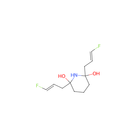 OC1(CC=CF)CCCC(O)(CC=CF)N1